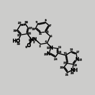 O=C(NCC(Cc1ccccc1)n1cc(-c2ccnc3[nH]ccc23)cn1)c1ccccc1O